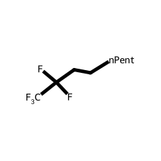 [CH2]CCCCCCC(F)(F)C(F)(F)F